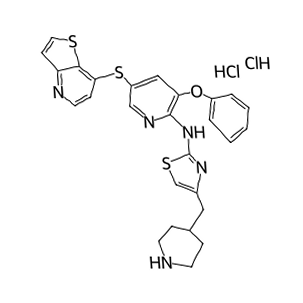 Cl.Cl.c1ccc(Oc2cc(Sc3ccnc4ccsc34)cnc2Nc2nc(CC3CCNCC3)cs2)cc1